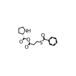 O=C(CCSC(=O)c1ccccc1)OC(=O)[C@@H]1CCCN1